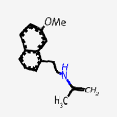 C=C(C)NCCc1cccc2ccc(OC)cc12